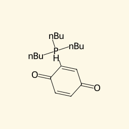 CCCC[PH](CCCC)(CCCC)C1=CC(=O)C=CC1=O